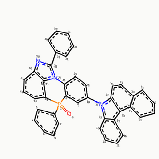 O=P1(c2ccccc2)c2cc(-n3c4ccccc4c4c5ccccc5ccc43)ccc2-n2c(-c3ccccc3)nc3cccc1c32